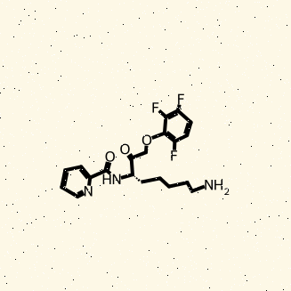 NCCCCC[C@H](NC(=O)c1ccccn1)C(=O)COc1c(F)ccc(F)c1F